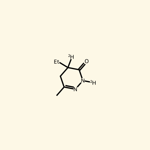 [2H]N1N=C(C)CC([2H])(CC)C1=O